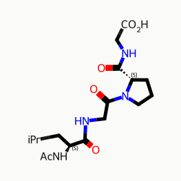 CC(=O)N[C@@H](CC(C)C)C(=O)NCC(=O)N1CCC[C@H]1C(=O)NCC(=O)O